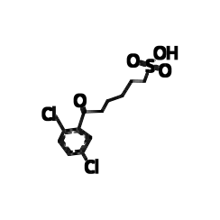 O=C(CCCCCS(=O)(=O)O)c1cc(Cl)ccc1Cl